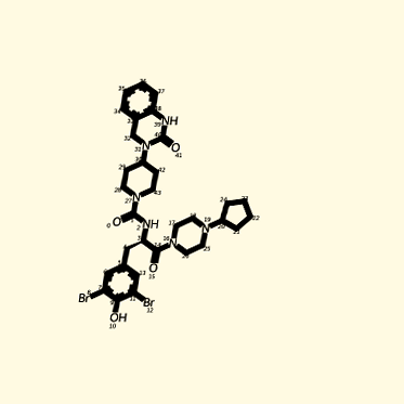 O=C(N[C@H](Cc1cc(Br)c(O)c(Br)c1)C(=O)N1CCN(C2CCCC2)CC1)N1CCC(N2Cc3ccccc3NC2=O)CC1